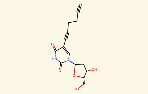 C#CCCC#Cc1cn([C@H]2CC(O)[C@@H](CO)O2)c(=O)[nH]c1=O